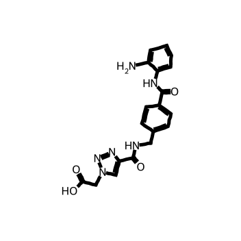 Nc1ccccc1NC(=O)c1ccc(CNC(=O)c2cn(CC(=O)O)nn2)cc1